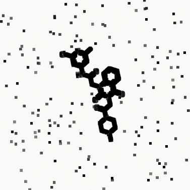 Cc1cc(NC(=O)Cn2c(=O)n(CC(=O)N3CCN(C)CC3)c(=O)c3ccccc32)cc(Cl)n1